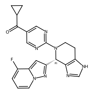 O=C(c1cnc(N2CCc3[nH]cnc3[C@@H]2c2cc3c(F)cccn3n2)nc1)C1CC1